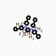 Cc1cc(-c2ccccc2)ccc1N1c2cc(OC(F)(F)F)cc3c2B(c2cc(-c4ccccc4)cc(C)c21)c1cc(-c2ccccc2)cc(C)c1N3c1ccc(-c2ccccc2)cc1C